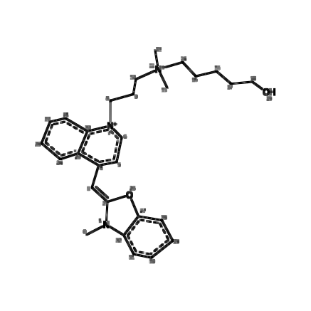 CN1/C(=C/c2cc[n+](CCC[N+](C)(C)CCCCCO)c3ccccc23)Oc2ccccc21